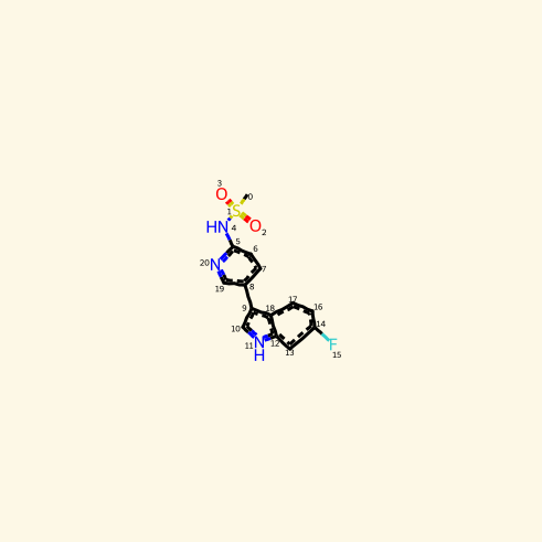 CS(=O)(=O)Nc1ccc(-c2c[nH]c3cc(F)ccc23)cn1